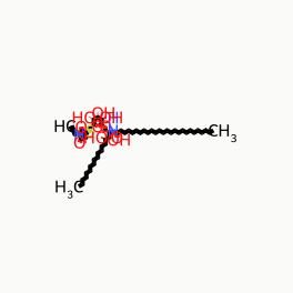 C#CCN1C(=O)C=C(SC[C@H]2O[C@H](OC[C@H](NC(=O)CCCCCCCCCCCCCCCCCCCCCCCCC)[C@H](O)[C@H](O)CCCCCCCCCCCCCC)[C@H](O)[C@@H](O)[C@H]2O)C1=O